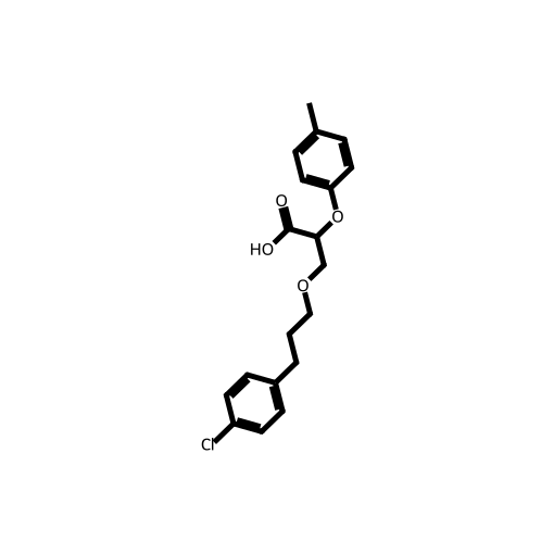 Cc1ccc(OC(COCCCc2ccc(Cl)cc2)C(=O)O)cc1